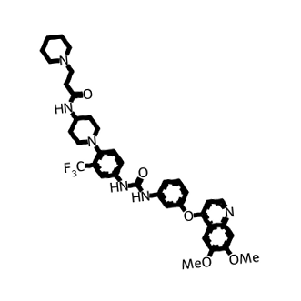 COc1cc2nccc(Oc3cccc(NC(=O)Nc4ccc(N5CCC(NC(=O)CCN6CCCCC6)CC5)c(C(F)(F)F)c4)c3)c2cc1OC